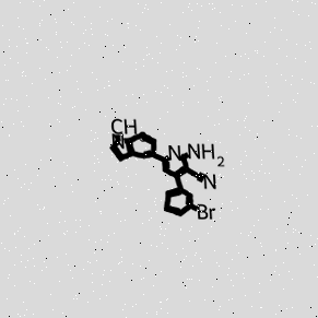 Cn1ccc2cc(-c3cc(-c4cccc(Br)c4)c(C#N)c(N)n3)ccc21